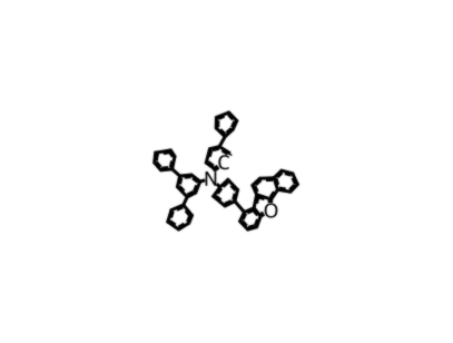 c1ccc(-c2ccc(N(c3ccc(-c4cccc5oc6c7ccccc7ccc6c45)cc3)c3cc(-c4ccccc4)cc(-c4ccccc4)c3)cc2)cc1